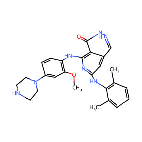 COc1cc(N2CCNCC2)ccc1Nc1nc(Nc2c(C)cccc2C)cc2cn[nH]c(=O)c12